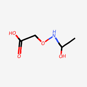 CC(O)NOCC(=O)O